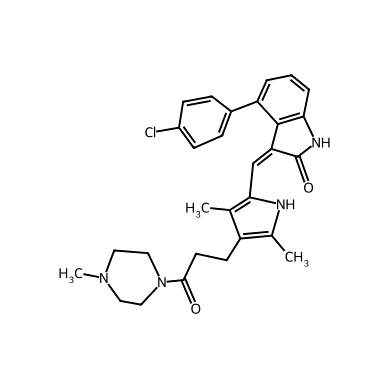 Cc1[nH]c(C=C2C(=O)Nc3cccc(-c4ccc(Cl)cc4)c32)c(C)c1CCC(=O)N1CCN(C)CC1